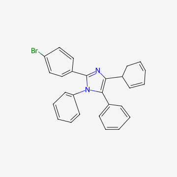 Brc1ccc(-c2nc(C3C=CC=CC3)c(-c3ccccc3)n2-c2ccccc2)cc1